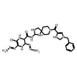 NN=NC1=C(Cl)NC(C(=O)NC2NCC3(CCN(C(=O)C4=CN(Cc5ccccc5)CN4)CC3)N2)C(N=NN)N1